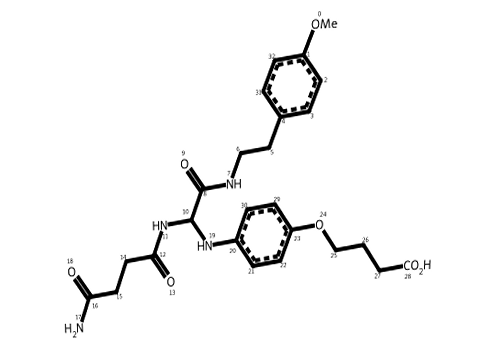 COc1ccc(CCNC(=O)C(NC(=O)CCC(N)=O)Nc2ccc(OCCCC(=O)O)cc2)cc1